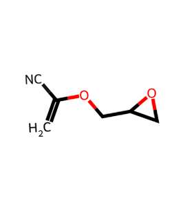 C=C(C#N)OCC1CO1